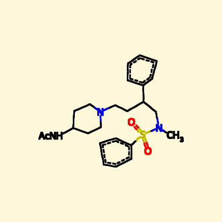 CC(=O)NC1CCN(CCC(CN(C)S(=O)(=O)c2ccccc2)c2ccccc2)CC1